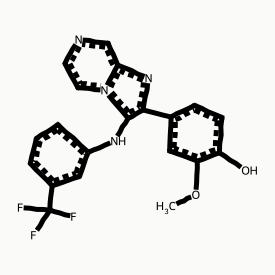 COc1cc(-c2nc3cnccn3c2Nc2cccc(C(F)(F)F)c2)ccc1O